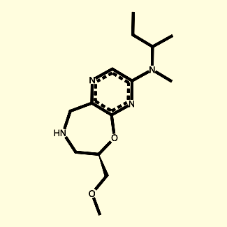 CCC(C)N(C)c1cnc2c(n1)O[C@@H](COC)CNC2